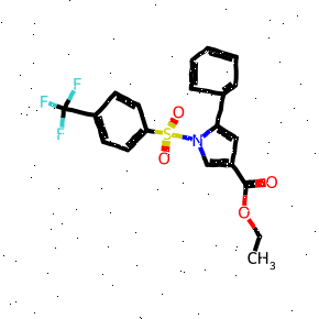 CCOC(=O)c1cc(-c2ccccc2)n(S(=O)(=O)c2ccc(C(F)(F)F)cc2)c1